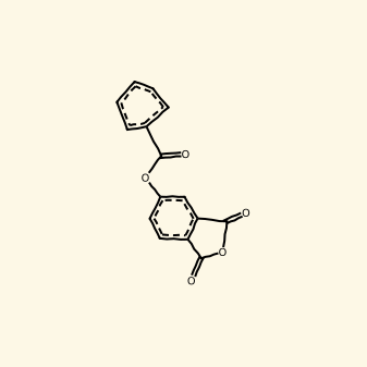 O=C(Oc1ccc2c(c1)C(=O)OC2=O)c1ccccc1